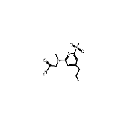 CC[CH]c1cc(N(C)CC(N)=O)nc(S(C)(=O)=O)c1